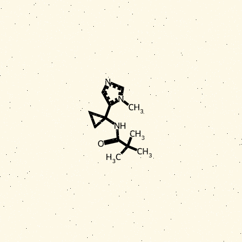 Cn1cncc1C1(NC(=O)C(C)(C)C)CC1